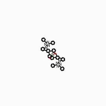 c1ccc(-c2nc(-c3ccccc3)nc(-n3c4ccccc4c4cc5c(cc43)-c3ccccc3[Si]3(c4ccccc4-5)c4ccccc4-c4cc5c6ccccc6n(-c6nc(-c7ccccc7)nc(-c7ccccc7)n6)c5cc4-c4ccccc43)n2)cc1